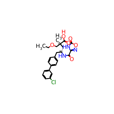 CCOC[C@](C)(C[C@@H](Cc1ccc(-c2cccc(Cl)c2)cc1)NC(=O)c1noc(=O)[nH]1)C(=O)O